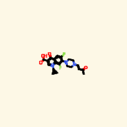 CC(=O)CCN1CCN(c2c(F)cc3c(=O)c(C(=O)O)cn(C4CC4)c3c2F)CC1